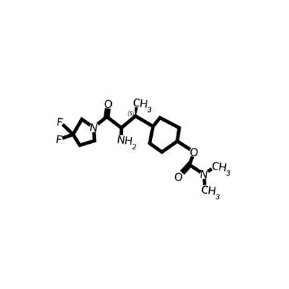 C[C@@H](C1CCC(OC(=O)N(C)C)CC1)C(N)C(=O)N1CCC(F)(F)C1